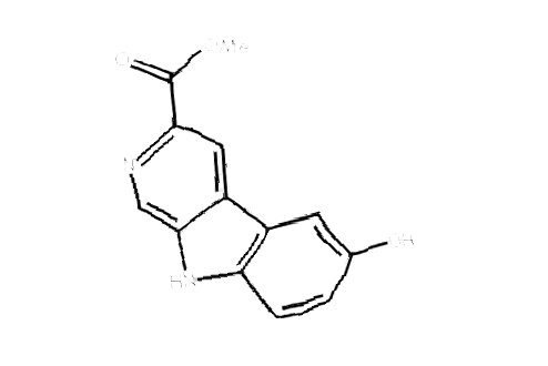 COC(=O)c1cc2c(cn1)[nH]c1ccc(O)cc12